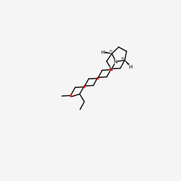 CCCCCCCCN1[C@@H]2CC[C@H]1CN(CCCCC(C)CC)C2